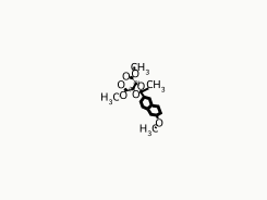 CCC1(c2ccc3cc(OC)ccc3c2)O[C@@H](C(=O)OC)[C@H](C(=O)OC)O1